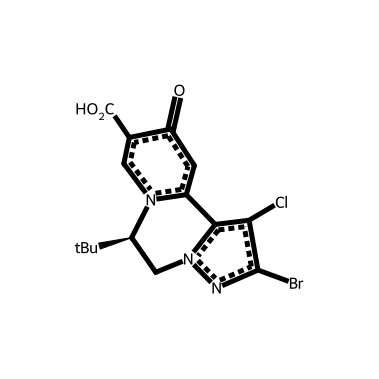 CC(C)(C)[C@@H]1Cn2nc(Br)c(Cl)c2-c2cc(=O)c(C(=O)O)cn21